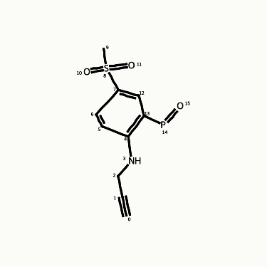 C#CCNc1ccc(S(C)(=O)=O)cc1P=O